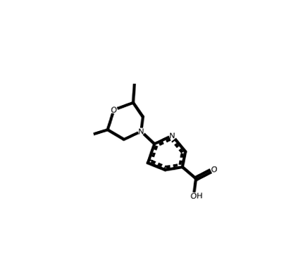 CC1CN(c2ccc(C(=O)O)cn2)CC(C)O1